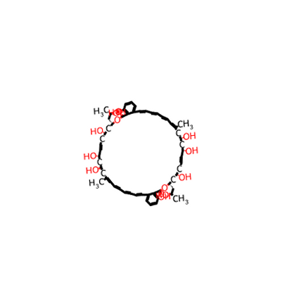 C\C1=C/C=C/C=C/C=C/c2cccc(O)c2C(=O)O[C@@H](CC(C)O)C[C@@H](O)C/C=C/[C@@H](O)C[C@@H](O)C/C(C)=C/C=C/C=C/C=C\c2cccc(O)c2C(=O)O[C@@H](C[C@@H](C)O)C[C@@H](O)C/C=C/[C@@H](O)CC(O)C1